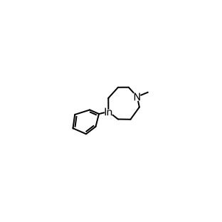 CN1CC[CH2][In]([c]2ccccc2)[CH2]CC1